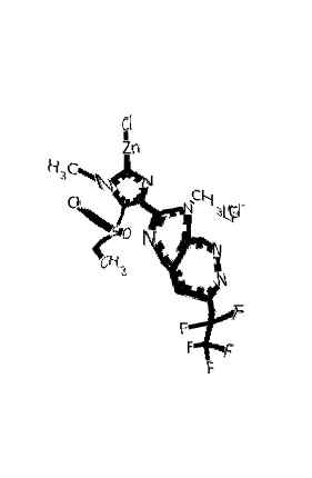 CCS(=O)(=O)c1c(-c2nc3cc(C(F)(F)C(F)(F)F)nnc3n2C)n[c]([Zn][Cl])n1C.[Cl-].[Li+]